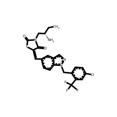 CC[C@H](N)CN1C(=O)SC(=Cc2ccc3c(cnn3Cc3ccc(Cl)cc3C(F)(F)F)c2)C1=O